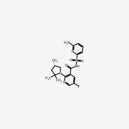 C[C@@H]1CN(c2ncc(F)cc2C(=O)NS(=O)(=O)c2cccc(N)n2)C(C)(C)C1